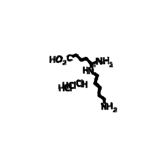 Cl.Cl.Cl.NCCCCCN[C@H](N)CCCC(=O)O